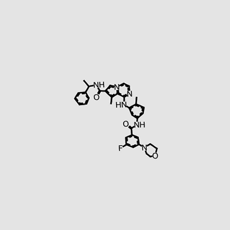 Cc1ccc(NC(=O)c2cc(F)cc(N3CCOCC3)c2)cc1Nc1nccn2cc(C(=O)NC(C)c3ccccc3)c(C)c12